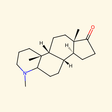 CN1CCC[C@@]2(C)C1CC[C@@H]1[C@H]2CC[C@]2(C)C(=O)CC[C@@H]12